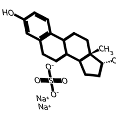 C[C@]12CCC3c4ccc(O)cc4CCC3C1CC[C@H]2O.O=S(=O)([O-])[O-].[Na+].[Na+]